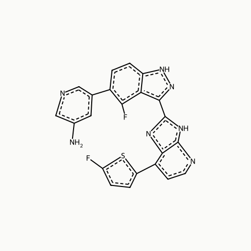 Nc1cncc(-c2ccc3[nH]nc(-c4nc5c(-c6ccc(F)s6)ccnc5[nH]4)c3c2F)c1